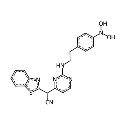 N#CC(c1ccnc(NCCc2ccc(N(O)O)cc2)n1)c1nc2ccccc2s1